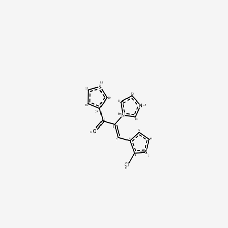 O=C(C(=Cc1ccsc1Cl)n1ccnc1)c1ccsc1